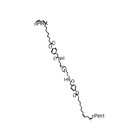 CCCCC/C=C\C/C=C\CCCCCCCC(=O)Oc1ccc(CC(=O)NCCCN2CCN(CCCNC(=O)Cc3ccc(OC(=O)CCCCCCC/C=C\C/C=C\CCCCC)cc3)CC2)cc1